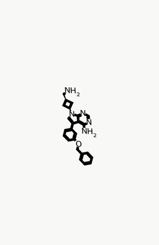 NC[C@H]1C[C@@H](n2cc(-c3cccc(OCc4ccccc4)c3)c3c(N)ncnc32)C1